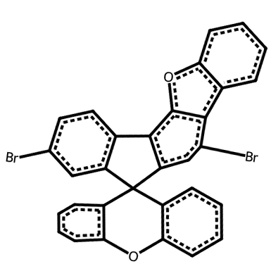 Brc1ccc2c(c1)C1(c3ccccc3Oc3ccccc31)c1cc(Br)c3c(oc4ccccc43)c1-2